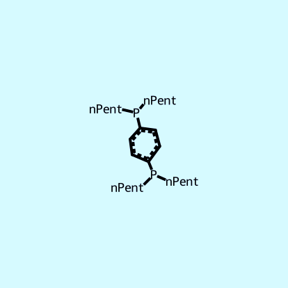 CCCCCP(CCCCC)c1ccc(P(CCCCC)CCCCC)cc1